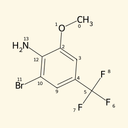 COc1cc(C(F)(F)F)cc(Br)c1N